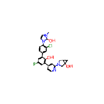 CN1C=CN(c2ccc(-c3cc(F)cc(-c4ccnc(N5CC6CC6(O)C5)c4)c3O)cc2Cl)C1O